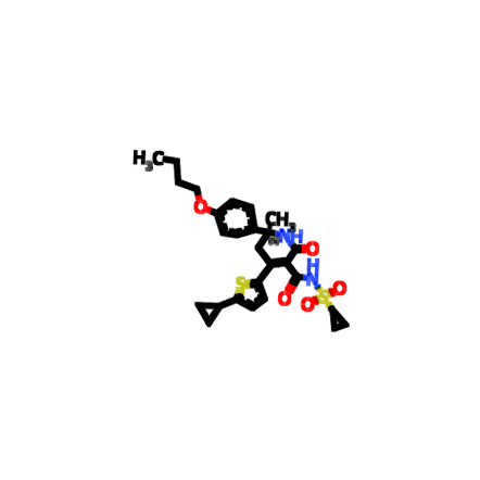 CCCCOc1ccc([C@]2(C)CC(c3ccc(C4CC4)s3)=C(C(=O)NS(=O)(=O)C3CC3)C(=O)N2)cc1